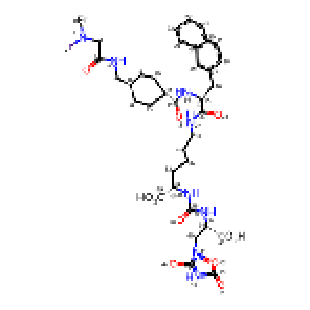 CCN(I)CC(=O)NC[C@H]1CC[C@H](C(=O)N[C@@H](Cc2ccc3ccccc3c2)C(=O)NCCCC[C@H](NC(=O)N[C@@H](Cn2oc(=O)[nH]c2=O)C(=O)O)C(=O)O)CC1